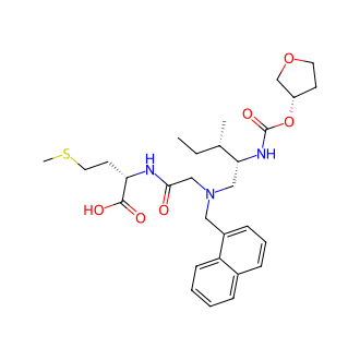 CC[C@H](C)[C@@H](CN(CC(=O)N[C@@H](CCSC)C(=O)O)Cc1cccc2ccccc12)NC(=O)O[C@H]1CCOC1